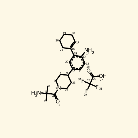 CC(C)(N)C(=O)N1CCC(c2ccc(N)c(C3=CCCCC3)c2)CC1.O=C(O)C(F)(F)F